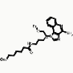 CCCCCCCCCCCCCCCC(=O)NCCC[C@@H](COCC)n1cnc2c(N)nc3ccccc3c21